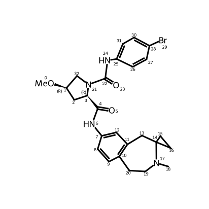 CO[C@@H]1C[C@H](C(=O)Nc2ccc3c(c2)CC2(CC2)N(C)CC3)N(C(=O)Nc2ccc(Br)cc2)C1